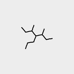 CCCC(C(C)CC)C(C)CC